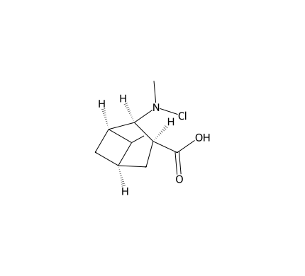 CC1[C@H]2C[C@H](C(=O)O)[C@H](N(C)Cl)[C@@H]1C2